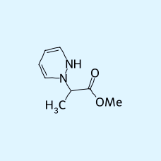 COC(=O)C(C)N1C=CC=CN1